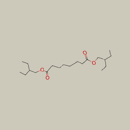 CCC(CC)COC(=O)CCCCCCC(=O)OCC(CC)CC